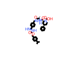 CC(C)c1ccc(COC(=O)NC(=N)c2ccc(CNC(=O)[C@H](C)NC(=O)[C@H]3C[C@@H](c4ccccc4)CCN3C(=O)O)cc2)cc1